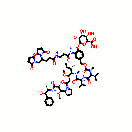 CC[C@H](C)[C@@H]([C@@H](CC(=O)N1CCC[C@H]1[C@H](OC)[C@@H](C)C(=O)N[C@H](C)[C@@H](O)c1ccccc1)OC)N(C)C(=O)[C@@H](NC(=O)[C@H](C(C)C)N(C)C(=O)OCc1ccc(O[C@@H]2O[C@H](C(=O)O)[C@@H](O)[C@H](O)[C@H]2O)c(NC(=O)CCNC(=O)CCC(CN2C(=O)C=CC2=O)N2C(=O)C=CC2=O)c1)C(C)C